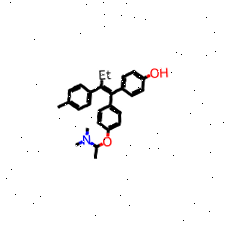 CC/C(=C(\c1ccc(O)cc1)c1ccc(OC(C)N(C)C)cc1)c1ccc(C)cc1